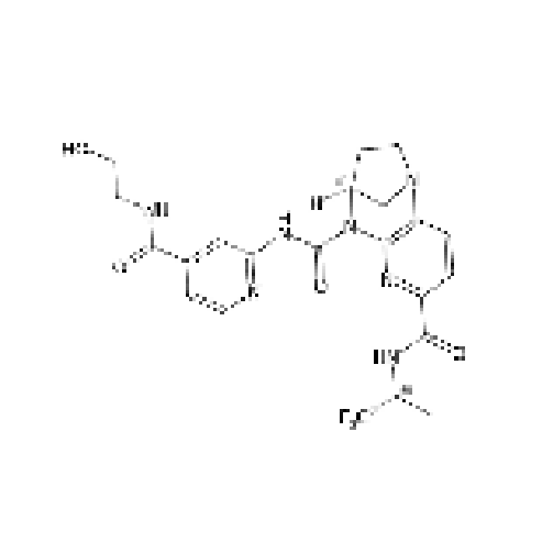 C[C@@H](NC(=O)c1ccc2c(n1)N(C(=O)Nc1cc(C(=O)NCCO)ccn1)[C@H]1CCN2C1)C(F)(F)F